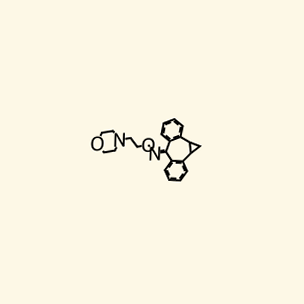 c1ccc2c(c1)C(=NOCCN1CCOCC1)c1ccccc1C1CC21